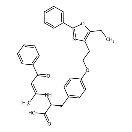 CCc1oc(-c2ccccc2)nc1CCOc1ccc(C[C@H](N/C(C)=C\C(=O)c2ccccc2)C(=O)O)cc1